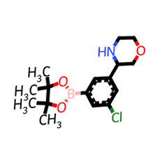 CC1(C)OB(c2cc(Cl)cc(C3COCCN3)c2)OC1(C)C